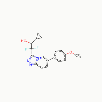 OC(C1CC1)C(F)(F)c1nnc2ccc(-c3ccc(OC(F)(F)F)cc3)cn12